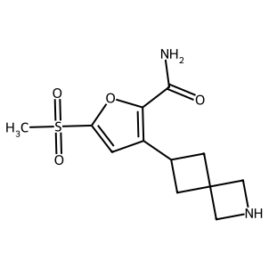 CS(=O)(=O)c1cc(C2CC3(CNC3)C2)c(C(N)=O)o1